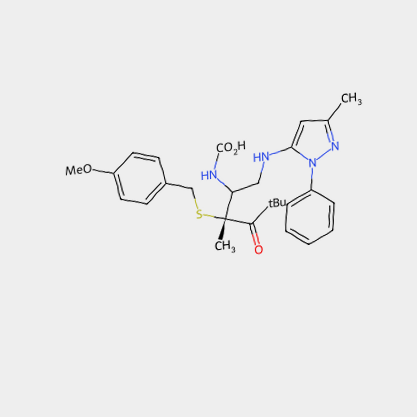 COc1ccc(CS[C@@](C)(C(=O)C(C)(C)C)C(CNc2cc(C)nn2-c2ccccc2)NC(=O)O)cc1